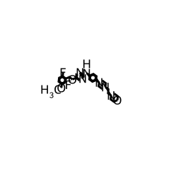 COc1ccc(F)c(COc2cnc(Nc3ccc(N4CCN(CCN5CCOCC5)CC4)cc3)nc2)c1F